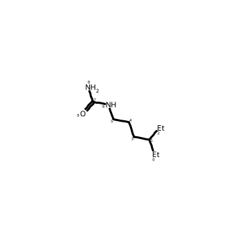 CCC(CC)CCCNC(N)=O